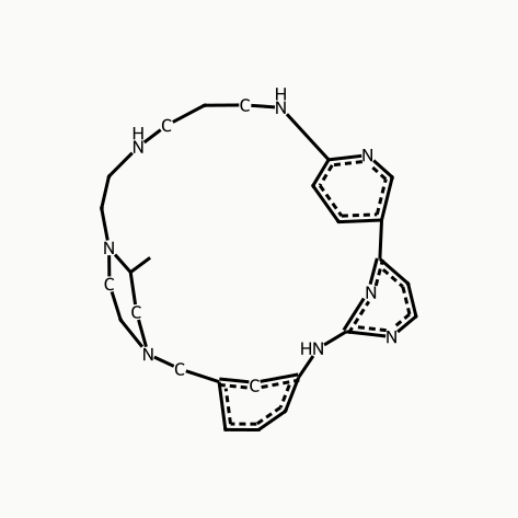 CC1CN2CCN1CCNCCCNc1ccc(cn1)-c1ccnc(n1)Nc1cccc(c1)C2